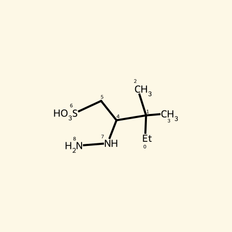 CCC(C)(C)C(CS(=O)(=O)O)NN